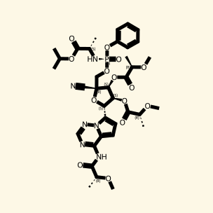 CO[C@H](C)C(=O)Nc1ncnn2c([C@@H]3O[C@](C#N)(CO[P@@](=O)(N[C@@H](C)C(=O)OC(C)C)Oc4ccccc4)[C@@H](OC(=O)[C@@H](C)OC)[C@H]3OC(=O)[C@@H](C)OC)ccc12